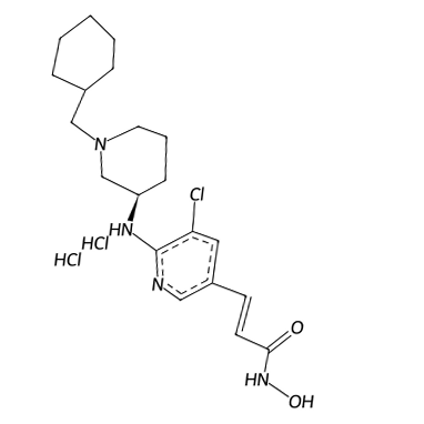 Cl.Cl.O=C(/C=C/c1cnc(N[C@@H]2CCCN(CC3CCCCC3)C2)c(Cl)c1)NO